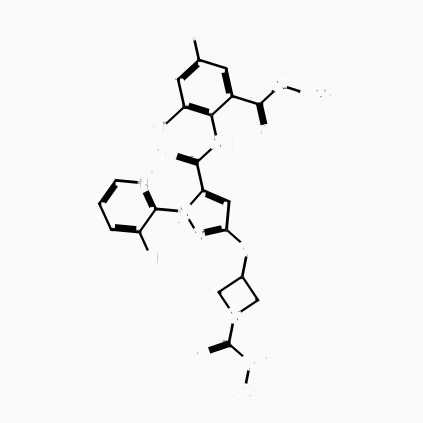 CONC(=O)c1cc(Cl)cc(Cl)c1NC(=O)c1cc(OC2CN(C(=O)OC(C)(C)C)C2)nn1-c1ncccc1Cl